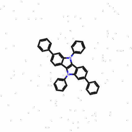 c1ccc(-c2ccc3c(c2)n(-c2ccccc2)c2c4ccc(-c5ccccc5)cc4n(-c4ccccc4)c32)cc1